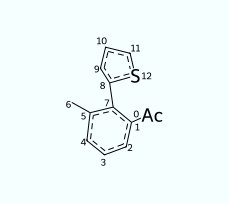 CC(=O)c1cccc(C)c1-c1cccs1